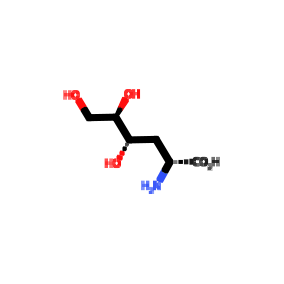 N[C@H](C[C@H](O)[C@H](O)CO)C(=O)O